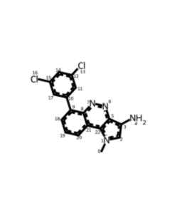 Cn1cc(N)c2nnc3c(-c4cc(Cl)cc(Cl)c4)cccc3c21